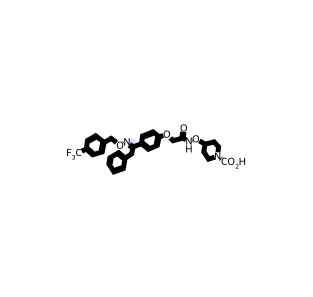 O=C(COc1ccc(/C(Cc2ccccc2)=N/OCc2ccc(C(F)(F)F)cc2)cc1)NOC1CCN(C(=O)O)CC1